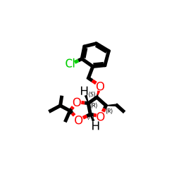 CC[C@H]1O[C@@H]2OC(C)(C(C)C)O[C@@H]2[C@H]1OCc1ccccc1Cl